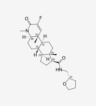 CN1C(=O)C(F)=C[C@]2(C)[C@H]3CC[C@]4(C)[C@@H](C(=O)NC[C@@H]5CCCO5)CC[C@H]4[C@@H]3CC[C@@H]12